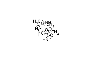 CNc1nc(C)c(-c2ccnc(Nc3ccc4c(C5CNCCO5)c(C(C)=O)c(=O)oc4c3)n2)s1